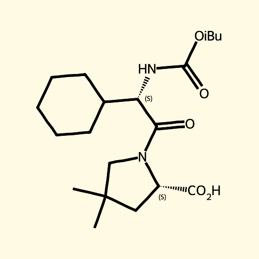 CC(C)COC(=O)N[C@H](C(=O)N1CC(C)(C)C[C@H]1C(=O)O)C1CCCCC1